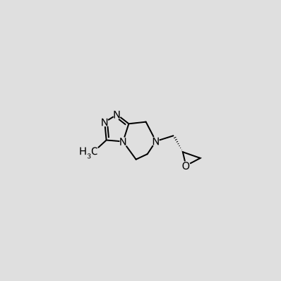 Cc1nnc2n1CCN(C[C@@H]1CO1)C2